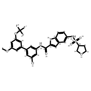 COc1cc(OC(F)(F)F)cc(-c2cc(Cl)cc(NC(=O)c3cc4cc(NS(=O)(=O)C5CCOC5)ccc4s3)c2)c1